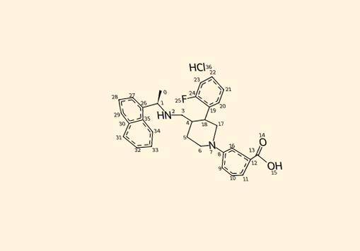 C[C@@H](NCC1CCN(c2cccc(C(=O)O)c2)CC1c1ccccc1F)c1cccc2ccccc12.Cl